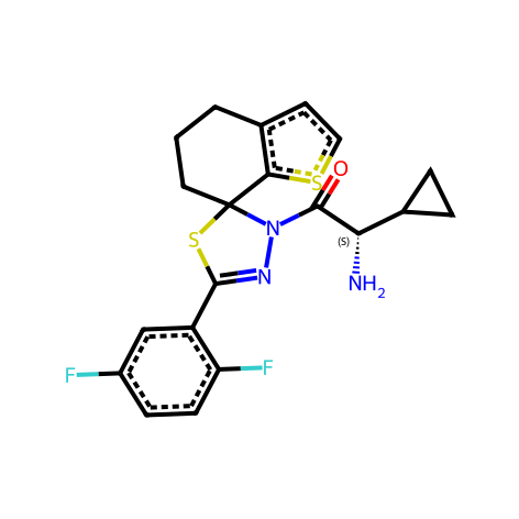 N[C@H](C(=O)N1N=C(c2cc(F)ccc2F)SC12CCCc1ccsc12)C1CC1